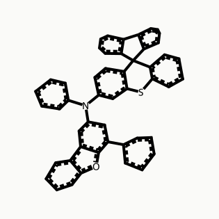 c1ccc(-c2cc(N(c3ccccc3)c3ccc4c(c3)Sc3ccccc3C43c4ccccc4-c4ccccc43)cc3c2oc2ccccc23)cc1